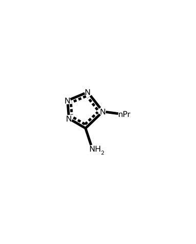 CCCn1nnnc1N